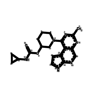 Cc1nc(N2CCCC(OC(=O)NC3CC3)C2)c2c(cnc3[nH]ccc32)n1